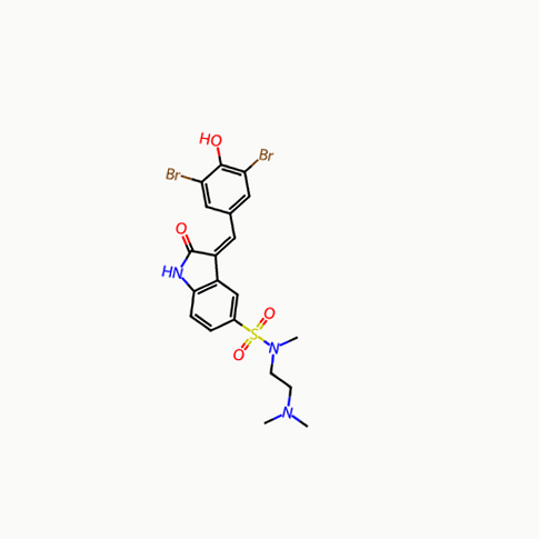 CN(C)CCN(C)S(=O)(=O)c1ccc2c(c1)C(=Cc1cc(Br)c(O)c(Br)c1)C(=O)N2